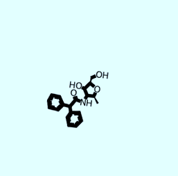 C[C@@H]1O[C@H](CO)C(O)C1NC(=O)C(c1ccccc1)c1ccccc1